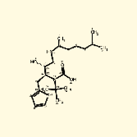 CC(C)CCCC(C)NC[C@@H](O)[C@H](Cc1cccs1)N(C(=O)O)C(C)(C)C